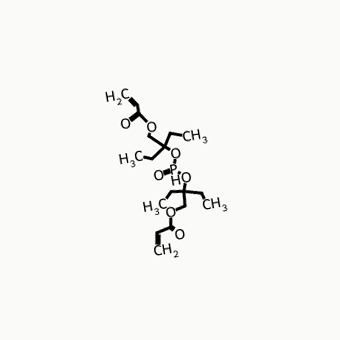 C=CC(=O)OCC(CC)(CC)O[PH](=O)OC(CC)(CC)COC(=O)C=C